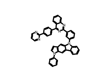 c1ccc(-n2ccc3cc4c(cc32)c2ccccc2n4-c2cccc(-c3nc(-c4ccc(-c5ncccn5)cc4)c4ccccc4n3)c2)cc1